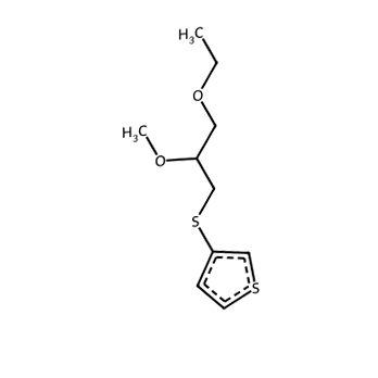 CCOCC(CSc1ccsc1)OC